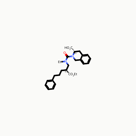 CCOC(=O)[C@@H](CCCc1ccccc1)CN(CC)C(=O)N1Cc2ccccc2C[C@H]1C(=O)O